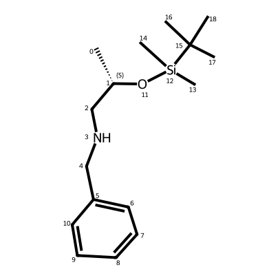 C[C@@H](CNCc1ccccc1)O[Si](C)(C)C(C)(C)C